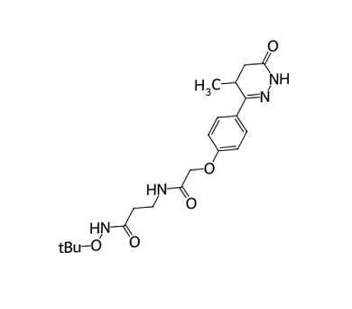 CC1CC(=O)NN=C1c1ccc(OCC(=O)NCCC(=O)NOC(C)(C)C)cc1